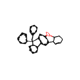 C1=CC2c3cc4c(cc3OC2CC1)C(c1ccccc1)(c1ccccc1)c1ccccc1-4